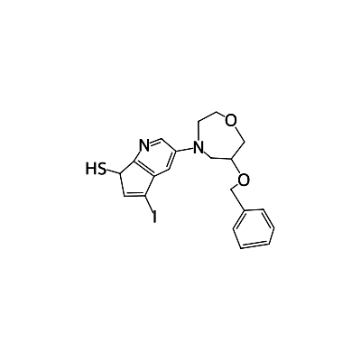 SC1C=C(I)c2cc(N3CCOCC(OCc4ccccc4)C3)cnc21